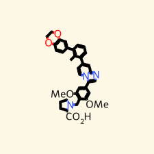 COc1cc(-c2cnc3cc(-c4cccc(-c5ccc6c(c5)OCCO6)c4C)ccn23)cc(OC)c1CN1CCC[C@@H]1C(=O)O